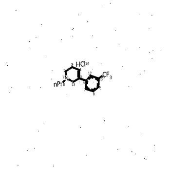 CCCN1CCC=C(c2cccc(C(F)(F)F)c2)C1.Cl